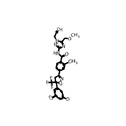 C#CCn1nc(NC(=O)c2ccc(C3=NOC(c4cc(Cl)cc(Cl)c4)(C(F)(F)F)C3)cc2C)nc1COC